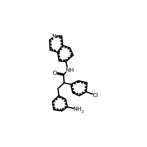 Nc1cccc(CC(C(=O)Nc2ccc3cnccc3c2)c2ccc(Cl)cc2)c1